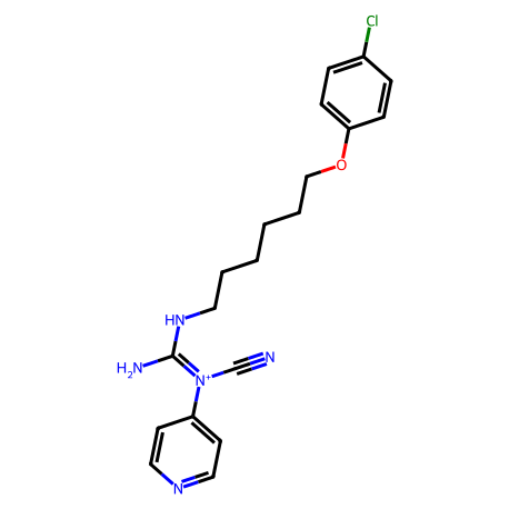 N#C[N+](=C(N)NCCCCCCOc1ccc(Cl)cc1)c1ccncc1